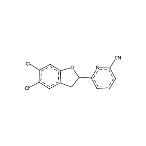 N#Cc1cccc(C2Cc3cc(Cl)c(Cl)cc3O2)n1